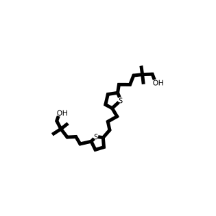 CC(C)(CO)CCCC1CCC(CCCC2CCC(CCCC(C)(C)CO)S2)S1